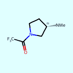 CN[C@H]1CCN(C(=O)C(F)(F)F)C1